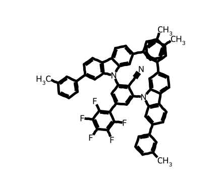 Cc1cccc(-c2ccc3c4ccc(-c5cccc(C)c5)cc4n(-c4cc(-c5c(F)c(F)c(F)c(F)c5F)cc(-n5c6cc(-c7cccc(C)c7)ccc6c6ccc(-c7cccc(C)c7)cc65)c4C#N)c3c2)c1